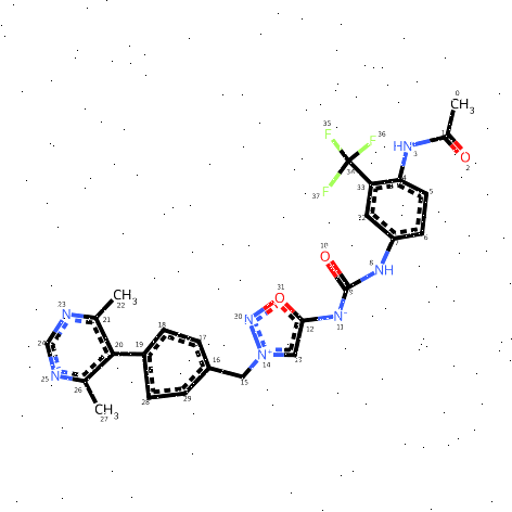 CC(=O)Nc1ccc(NC(=O)[N-]c2c[n+](Cc3ccc(-c4c(C)ncnc4C)cc3)no2)cc1C(F)(F)F